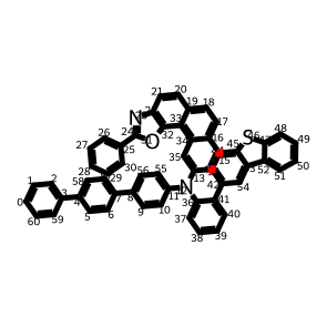 c1ccc(-c2ccc(-c3ccc(N(c4ccc5ccc6ccc7nc(-c8ccccc8)oc7c6c5c4)c4ccccc4-c4ccc5sc6ccccc6c5c4)cc3)cc2)cc1